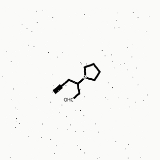 [C]#CCC(CC=O)N1CCCC1